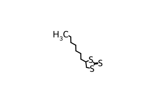 CCCCCCCC1CSC(=S)S1